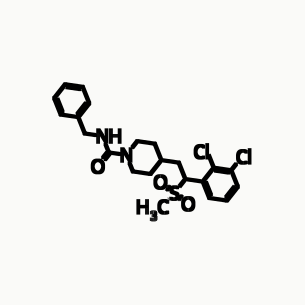 CS(=O)(=O)C(CC1CCN(C(=O)NCc2ccccc2)CC1)c1cccc(Cl)c1Cl